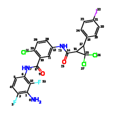 Nc1c(F)ccc(NC(=O)c2cc(NC(=O)C3C(c4ccc(I)cc4)C3(Cl)Cl)ccc2Cl)c1F